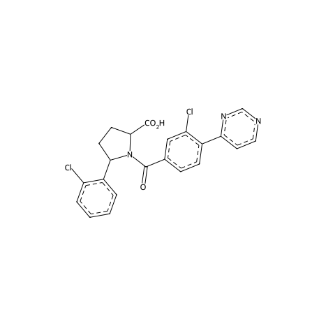 O=C(O)C1CCC(c2ccccc2Cl)N1C(=O)c1ccc(-c2ccncn2)c(Cl)c1